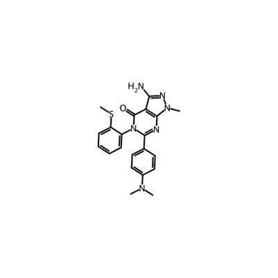 CSc1ccccc1-n1c(-c2ccc(N(C)C)cc2)nc2c(c(N)nn2C)c1=O